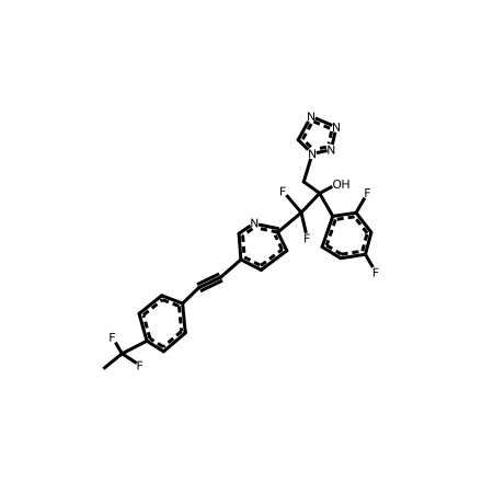 CC(F)(F)c1ccc(C#Cc2ccc(C(F)(F)C(O)(Cn3cnnn3)c3ccc(F)cc3F)nc2)cc1